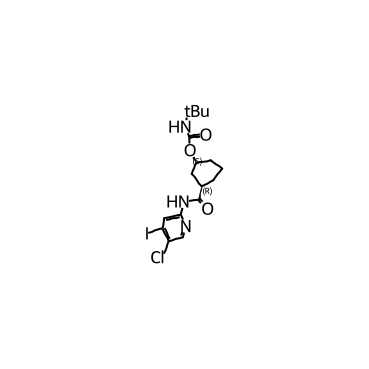 CC(C)(C)NC(=O)O[C@H]1CCC[C@@H](C(=O)Nc2cc(I)c(Cl)cn2)C1